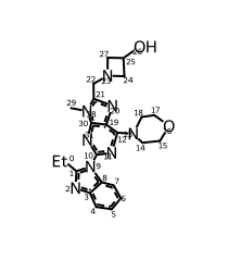 CCc1nc2ccccc2n1-c1nc(N2CCOCC2)c2nc(CN3CC(O)C3)n(C)c2n1